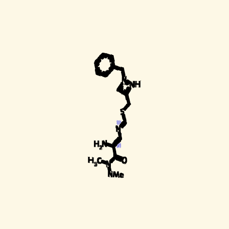 CNN(C)C(=O)/C(N)=C/N=C/SCc1cn(Cc2ccccc2)[nH]1